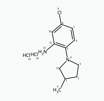 CC1CCN(c2ccc(Cl)cc2N)C1.Cl.Cl